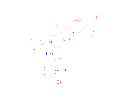 CC(OC(=O)c1cccc(O)c1O)C(N)C(=O)N(C(=S)NC(=O)c1cccc(O)c1O)c1ccccc1